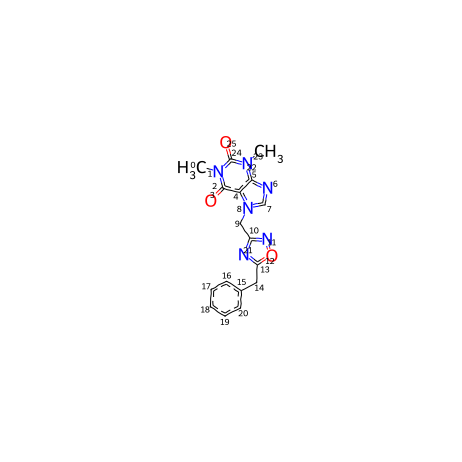 Cn1c(=O)c2c(ncn2Cc2noc(Cc3ccccc3)n2)n(C)c1=O